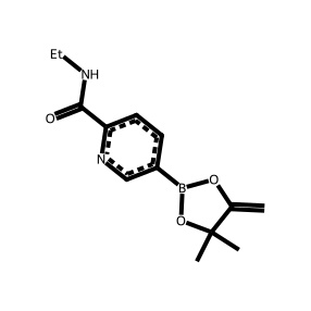 C=C1OB(c2ccc(C(=O)NCC)nc2)OC1(C)C